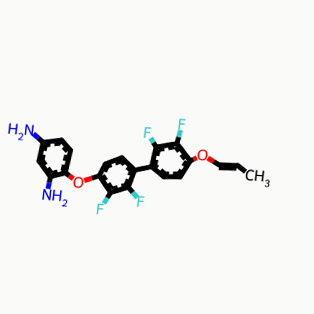 C/C=C/Oc1ccc(-c2ccc(Oc3ccc(N)cc3N)c(F)c2F)c(F)c1F